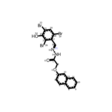 O=C(COc1ccc2ccccc2c1)N/N=C/c1c(Br)cc(Br)c(O)c1Br